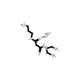 CCCCOC(=O)CC(=O)ON(CC)CC.Cl.Cl